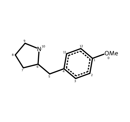 COc1ccc(CC2CCC[N]2)cc1